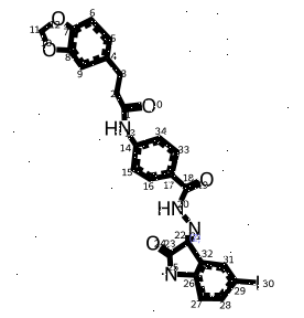 O=C(CCc1ccc2c(c1)OCO2)Nc1ccc(C(=O)N/N=C2\C(=O)[N]c3ccc(I)cc32)cc1